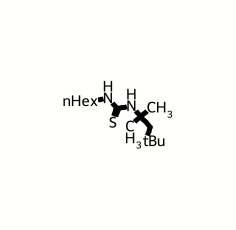 CCCCCCNC(=S)NC(C)(C)CC(C)(C)C